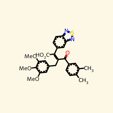 COc1cc(CC(C(=O)c2ccc(C)c(C)c2)=C(C(=O)O)c2ccc3nsnc3c2)cc(OC)c1OC